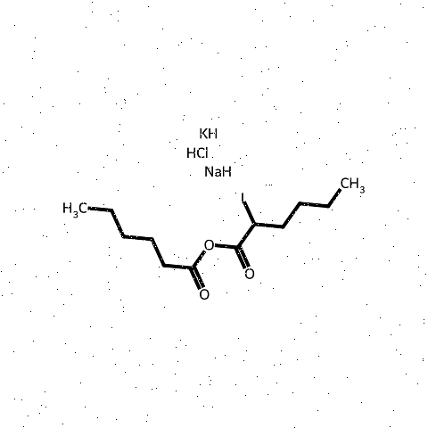 CCCCCC(=O)OC(=O)C(I)CCCC.Cl.[KH].[NaH]